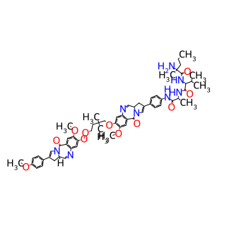 CCCC(C)(N)C(=O)NC(C(=O)N[C@@H](C)C(=O)Nc1ccc(C2=CN3C(=O)c4cc(OC)c(OCC(C)(C)CCOOc5cc6c(cc5OC)C(=O)N5C=C(c7ccc(OC)cc7)C[C@H]5C=N6)cc4N=CC3C2)cc1)C(C)C